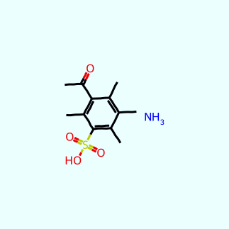 CC(=O)c1c(C)c(C)c(C)c(S(=O)(=O)O)c1C.N